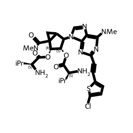 CNC(=O)C12CC1C(n1cnc3c(NC)nc(C#Cc4ccc(Cl)s4)nc31)[C@H](OC(=O)[C@@H](N)C(C)C)[C@@H]2OC(=O)[C@@H](N)C(C)C